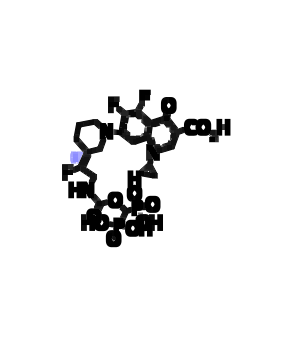 O=C(NC/C(F)=C1/CCCN(c2cc3c(c(F)c2F)c(=O)c(C(=O)O)cn3C2CC2)C1)OC(P(=O)(O)O)P(=O)(O)O